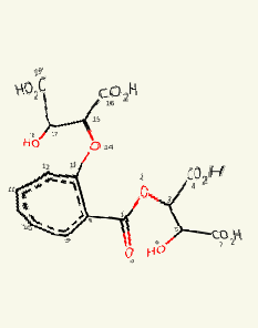 O=C(OC(C(=O)O)C(O)C(=O)O)c1ccccc1OC(C(=O)O)C(O)C(=O)O